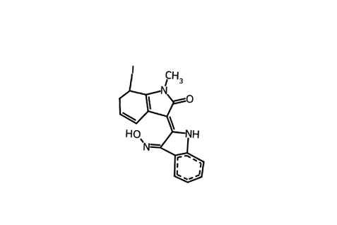 CN1C(=O)/C(=C2\Nc3ccccc3\C2=N\O)C2=C1C(I)CC=C2